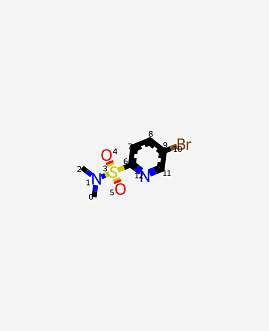 CN(C)S(=O)(=O)c1ccc(Br)cn1